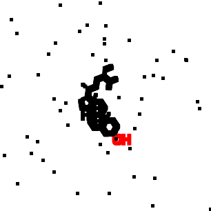 CC[C@H](CC[C@@H](C)[C@H]1CC[C@H]2[C@@H]3CC=C4CC(O)CC[C@]4(C)[C@H]3CC[C@]12C)C(C)C